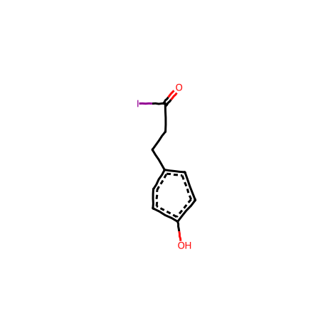 O=C(I)CCc1ccc(O)cc1